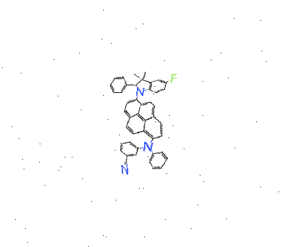 CC1(C)c2cc(F)ccc2N(c2ccc3ccc4c(N(c5ccccc5)c5cccc(C#N)c5)ccc5ccc2c3c54)C1c1ccccc1